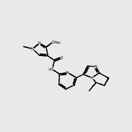 COc1nn(C)cc1C(=O)Nc1cccc(-c2cnc3n2C(C)CC3)n1